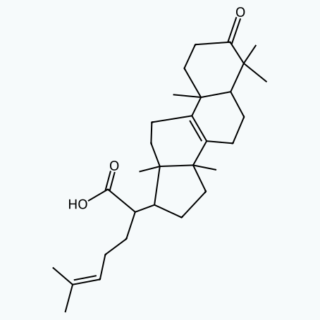 CC(C)=CCCC(C(=O)O)C1CCC2(C)C3=C(CCC12C)C1(C)CCC(=O)C(C)(C)C1CC3